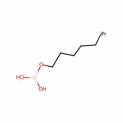 CC(C)CCCCCOB(O)O